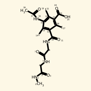 CNC(=O)CNC(=O)CNC(=O)c1c(I)c(NC(C)=O)c(I)c(C(=O)O)c1I